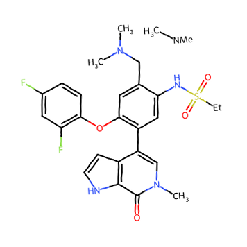 CCS(=O)(=O)Nc1cc(-c2cn(C)c(=O)c3[nH]ccc23)c(Oc2ccc(F)cc2F)cc1CN(C)C.CNC